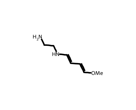 CO/C=C/C=C/NCCN